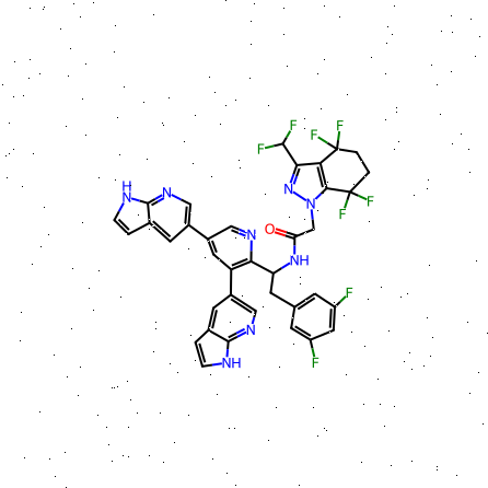 O=C(Cn1nc(C(F)F)c2c1C(F)(F)CCC2(F)F)NC(Cc1cc(F)cc(F)c1)c1ncc(-c2cnc3[nH]ccc3c2)cc1-c1cnc2[nH]ccc2c1